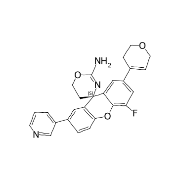 NC1=N[C@@]2(CCO1)c1cc(-c3cccnc3)ccc1Oc1c(F)cc(C3=CCOCC3)cc12